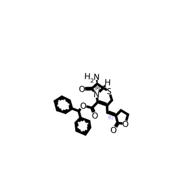 N[C@@H]1C(=O)N2C(C(=O)OC(c3ccccc3)c3ccccc3)=C(/C=C3\CCOC3=O)CS[C@@H]12